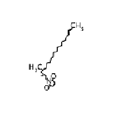 CCCCCCCCCCCCCCCCC(C)SCCN1C(=O)CCC1=O